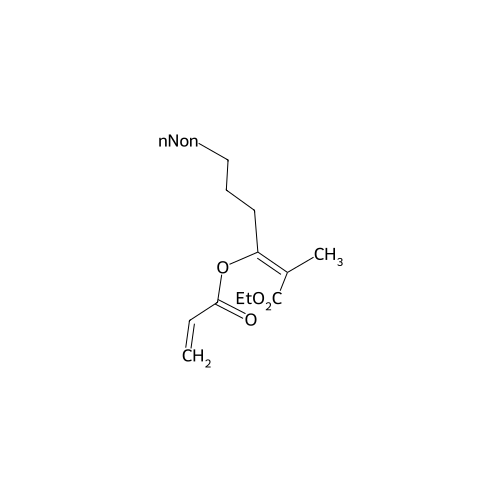 C=CC(=O)OC(CCCCCCCCCCCC)=C(C)C(=O)OCC